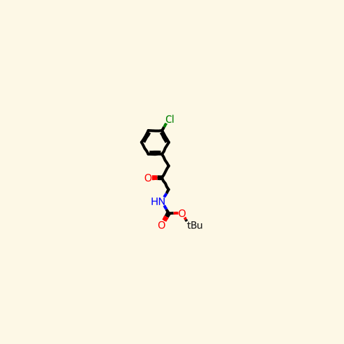 CC(C)(C)OC(=O)NCC(=O)Cc1cccc(Cl)c1